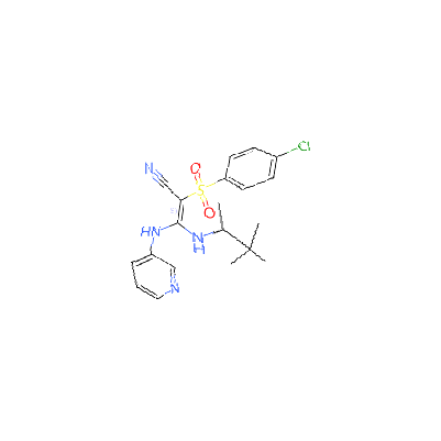 CC(N/C(Nc1cccnc1)=C(/C#N)S(=O)(=O)c1ccc(Cl)cc1)C(C)(C)C